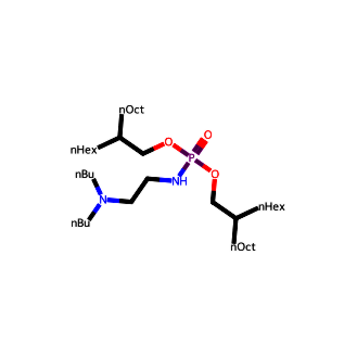 CCCCCCCCC(CCCCCC)COP(=O)(NCCN(CCCC)CCCC)OCC(CCCCCC)CCCCCCCC